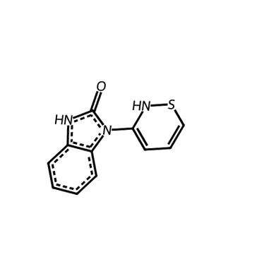 O=c1[nH]c2ccccc2n1C1=CC=CSN1